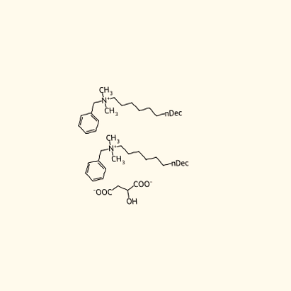 CCCCCCCCCCCCCCCC[N+](C)(C)Cc1ccccc1.CCCCCCCCCCCCCCCC[N+](C)(C)Cc1ccccc1.O=C([O-])CC(O)C(=O)[O-]